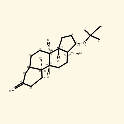 CC(C)(C)O[C@H]1CC[C@H]2[C@@H]3CCC4CC(=O)CC[C@]4(C)[C@H]3CC[C@]12C